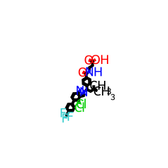 CC(C)CC(c1ccc(C(=O)NCCC(=O)O)cc1)n1cc2c(Cl)c(-c3ccc(C(F)(F)F)cc3Cl)ccc2n1